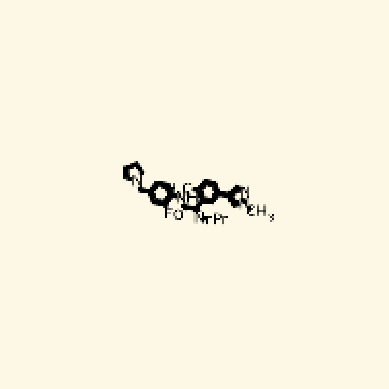 CCC/N=C(/C(=O)Nc1ccc(CN2CCCC2)cc1F)c1cc(-c2cnn(C)c2)ccc1C